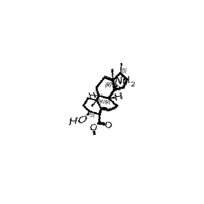 COC(=O)C1C2=CC[C@@H]3[C@H](CC[C@]4(C)[C@@H](C)CC[C@]34N)[C@@]2(C)CC[C@@H]1O